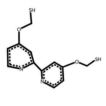 SCOc1ccnc(-c2cc(OCS)ccn2)c1